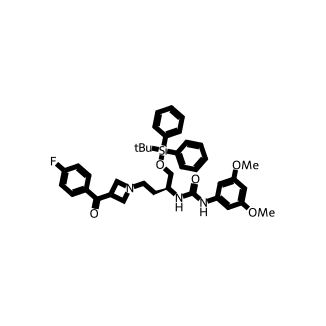 COc1cc(NC(=O)N[C@@H](CCN2CC(C(=O)c3ccc(F)cc3)C2)CO[Si](c2ccccc2)(c2ccccc2)C(C)(C)C)cc(OC)c1